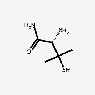 CC(C)(S)[C@@H](N)C(N)=O